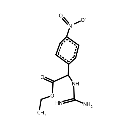 CCOC(=O)C(NC(=N)N)c1ccc([N+](=O)[O-])cc1